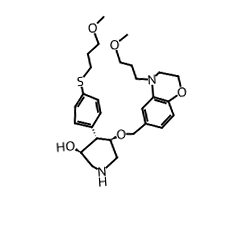 COCCCSc1ccc([C@H]2[C@H](O)CNC[C@@H]2OCc2ccc3c(c2)N(CCCOC)CCO3)cc1